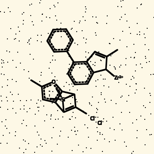 CC1=C2c3cc(C)oc3C1[Si]2(C)C.CC1=Cc2c(-c3ccccc3)cccc2[CH]1[Zr+2].[Cl-].[Cl-]